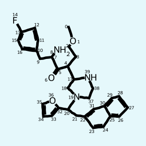 COCCC(C(=O)C(N)Cc1ccc(F)cc1)C1CN(C(Cc2ccc3ccccc3c2)c2ccco2)CCN1